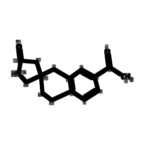 CC(=O)c1ccc2c(c1)CC1(CC2)CNC(=O)C1